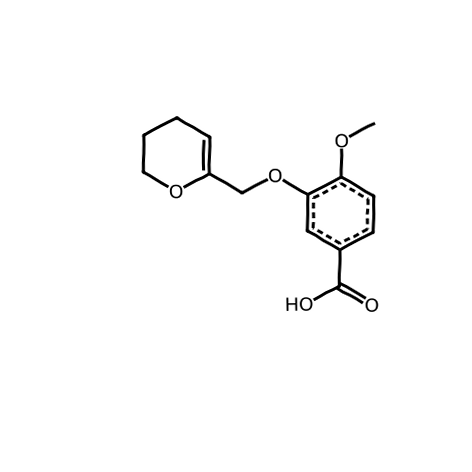 COc1ccc(C(=O)O)cc1OCC1=CCCCO1